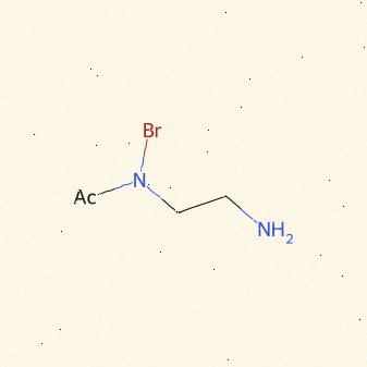 CC(=O)N(Br)CCN